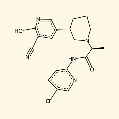 C[C@@H](C(=O)Nc1ccc(Cl)cn1)N1CCC[C@@H](c2cnc(O)c(C#N)c2)C1